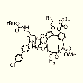 COC(=O)[C@@H]1Cc2ccc(OC(=O)OC(C)(C)C)c(c2)-c2cc(ccc2OCCBr)[C@H](N(C)C(=O)[C@H](CCCCNC(=O)OC(C)(C)C)NC(=O)c2ccc(-c3ccc(Cl)cc3)cc2)C(=O)N[C@@H](C)C(=O)N1